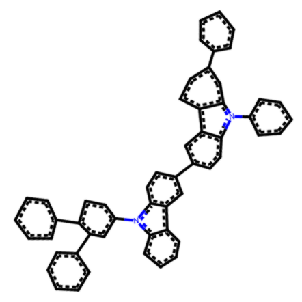 c1ccc(-c2ccc3c4cc(-c5ccc6c(c5)c5ccccc5n6-c5ccc(-c6ccccc6)c(-c6ccccc6)c5)ccc4n(-c4ccccc4)c3c2)cc1